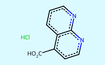 Cl.O=C(O)c1ccnc2ncccc12